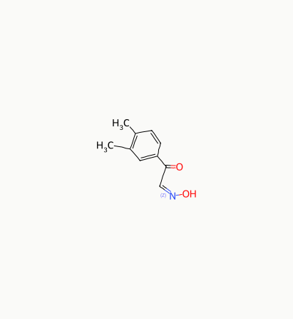 Cc1ccc(C(=O)/C=N\O)cc1C